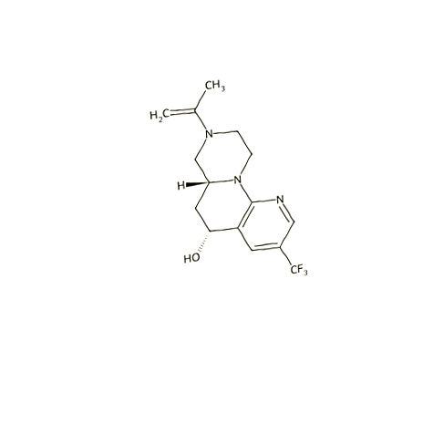 C=C(C)N1CCN2c3ncc(C(F)(F)F)cc3[C@H](O)C[C@@H]2C1